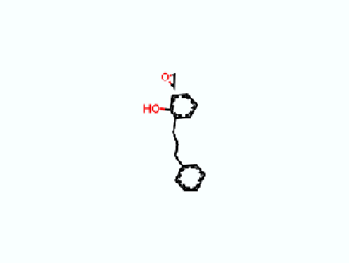 C1CO1.Oc1ccccc1CCCc1ccccc1